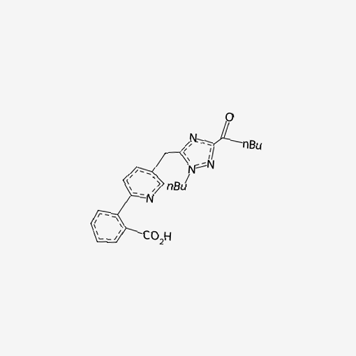 CCCCC(=O)c1nc(Cc2ccc(-c3ccccc3C(=O)O)nc2)n(CCCC)n1